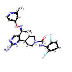 CC(=NOc1ccnc(C(F)(F)F)c1)c1cnc(N)nc1C1CCN(C(=O)Nc2c(F)cccc2F)CC1